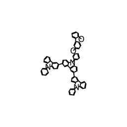 c1ccc(-n2c3ccccc3c3cc(-c4ccc5c(c4)c4cc(-c6ccc7c(c6)c6ccccc6n7-c6ccccc6)ccc4n5-c4cccc(Oc5ccc6oc7ccccc7c6c5)c4)ccc32)cc1